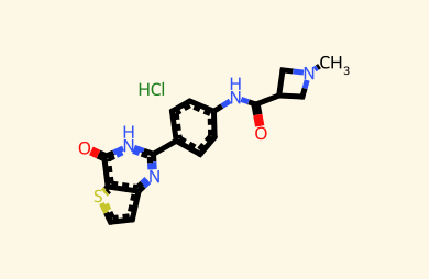 CN1CC(C(=O)Nc2ccc(-c3nc4ccsc4c(=O)[nH]3)cc2)C1.Cl